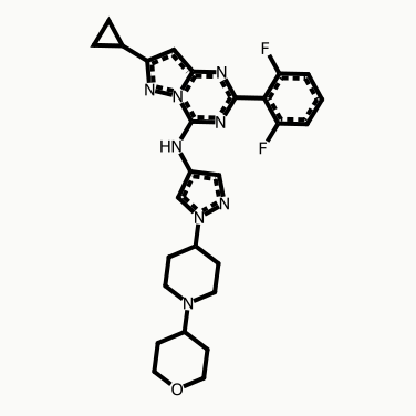 Fc1cccc(F)c1-c1nc(Nc2cnn(C3CCN(C4CCOCC4)CC3)c2)n2nc(C3CC3)cc2n1